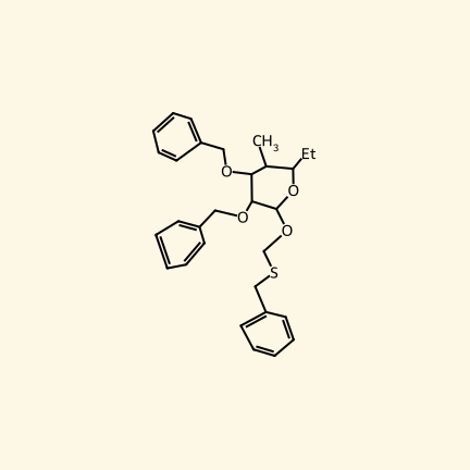 CCC1OC(OCSCc2ccccc2)C(OCc2ccccc2)C(OCc2ccccc2)C1C